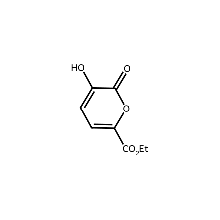 CCOC(=O)c1ccc(O)c(=O)o1